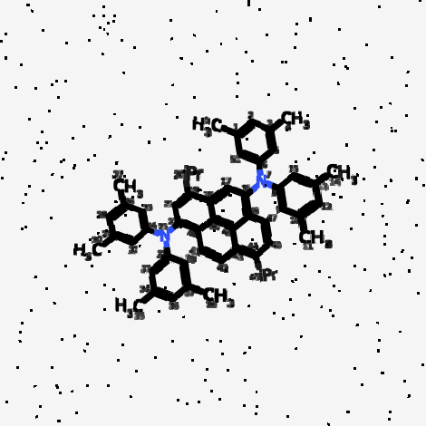 Cc1cc(C)cc(N(c2cc(C)cc(C)c2)c2cc3c(C(C)C)cc(N(c4cc(C)cc(C)c4)c4cc(C)cc(C)c4)c4ccc5c(C(C)C)ccc2c5c34)c1